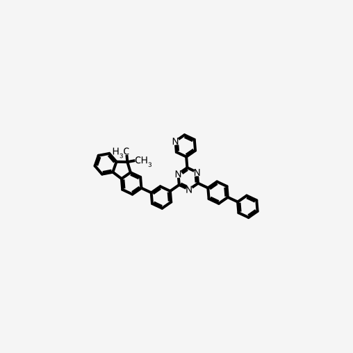 CC1(C)c2ccccc2-c2ccc(-c3cccc(-c4nc(-c5ccc(-c6ccccc6)cc5)nc(-c5cccnc5)n4)c3)cc21